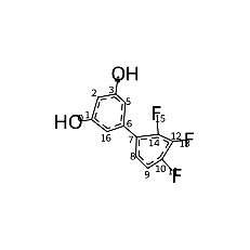 Oc1cc(O)cc(-c2ccc(F)c(F)c2F)c1